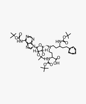 CC(C)(C)OC(=O)Nc1ncnc2c1ncn2[C@@H]1O[C@H](CN(CCC(CCc2ccccc2)NC(=O)OC(C)(C)C)CCC(NC(=O)OC(C)(C)C)C(=O)O)[C@H]2OC(C)(C)O[C@H]21